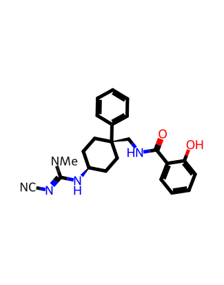 CN/C(=N\C#N)N[C@H]1CC[C@](CNC(=O)c2ccccc2O)(c2ccccc2)CC1